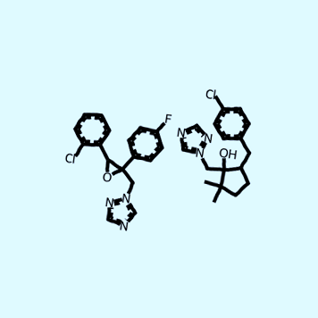 CC1(C)CCC(Cc2ccc(Cl)cc2)C1(O)Cn1cncn1.Fc1ccc(C2(Cn3cncn3)OC2c2ccccc2Cl)cc1